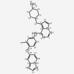 Cc1cc(Nc2ncnn3ccc(CC4CCC(N)CC4)c23)ccc1Oc1ccn2ncnc2c1